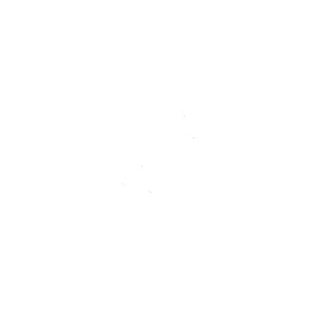 CCC1Nc2ccccc2N1c1cccc(-c2cccc(-c3cccc(C4N=C(c5ccccc5)N=C(c5ccccc5)N4)c3)c2)c1